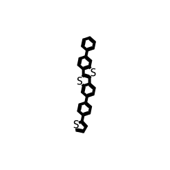 c1ccc(-c2ccc3c(c2)sc2c4ccc(-c5ccc(-c6cccs6)cc5)cc4sc32)cc1